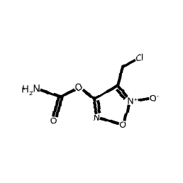 NC(=O)Oc1no[n+]([O-])c1CCl